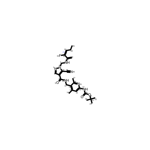 C=C(NCn1ncc(C(=O)NCc2c(C)cc(NC(=O)OC(C)(C)C)nc2C)c1C#N)/C(F)=C\CC